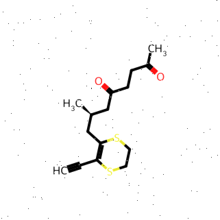 C#CC1=C(C[C@@H](C)CC(=O)CCC(C)=O)SCCS1